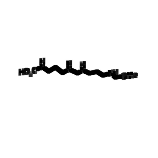 COCNCCCNCNCCCNC(=O)O